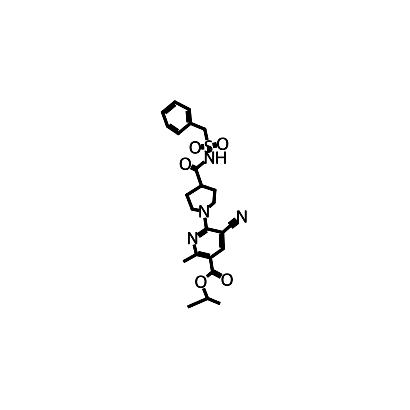 Cc1nc(N2CCC(C(=O)NS(=O)(=O)Cc3ccccc3)CC2)c(C#N)cc1C(=O)OC(C)C